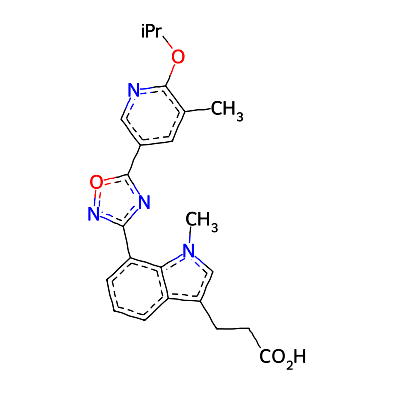 Cc1cc(-c2nc(-c3cccc4c(CCC(=O)O)cn(C)c34)no2)cnc1OC(C)C